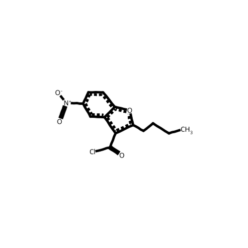 CCCCc1oc2ccc([N+](=O)[O-])cc2c1C(=O)Cl